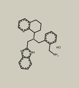 Cl.NCc1ccccc1CN(Cc1nc2ccccc2[nH]1)C1CCCc2cccnc21